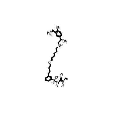 CCNC(=O)NS(=O)(=O)c1cccc(CCCCOCCCCCCNC[C@H](O)c2ccc(O)c(CO)c2)c1